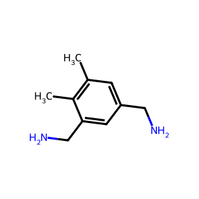 Cc1cc(CN)cc(CN)c1C